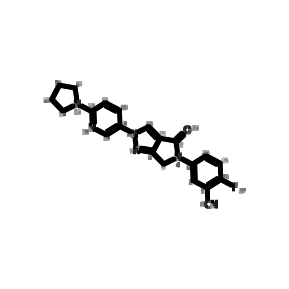 N#Cc1cc(N2Cc3nn(-c4ccc(N5CCCC5)nc4)cc3C2=O)ccc1F